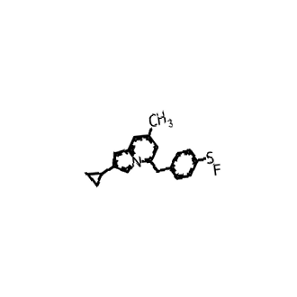 Cc1cc(Cc2ccc(SF)cc2)n2cc(C3CC3)cc2c1